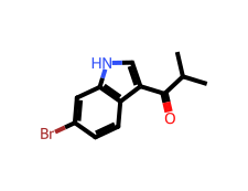 CC(C)C(=O)c1c[nH]c2cc(Br)ccc12